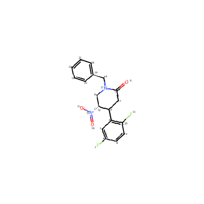 O=C1CC(c2cc(F)ccc2F)[C@H]([N+](=O)[O-])CN1Cc1ccccc1